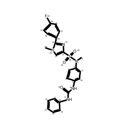 CN(c1ccc(NC(=O)Nc2ccccc2)cc1)S(=O)(=O)c1cn(C)c(-c2ccc(F)cc2)n1